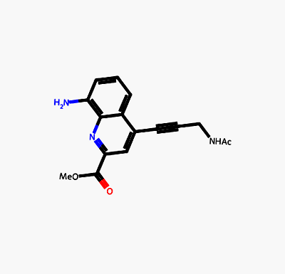 COC(=O)c1cc(C#CCNC(C)=O)c2cccc(N)c2n1